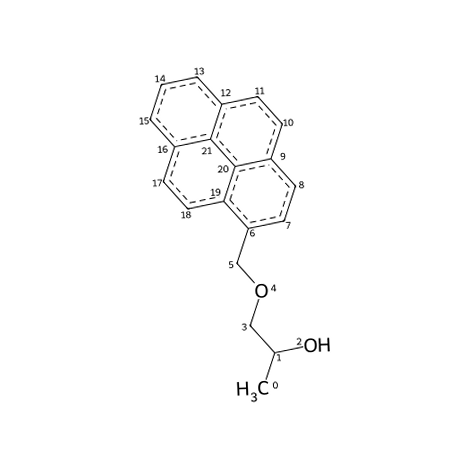 CC(O)COCc1ccc2ccc3cccc4ccc1c2c34